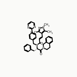 Cc1nn(C)c(C)c1/C=C/C(=O)N(Cc1ccc(-c2ncccn2)cc1)[C@@H](Cc1ccccc1)C(=O)N1CCc2ccccc2C1